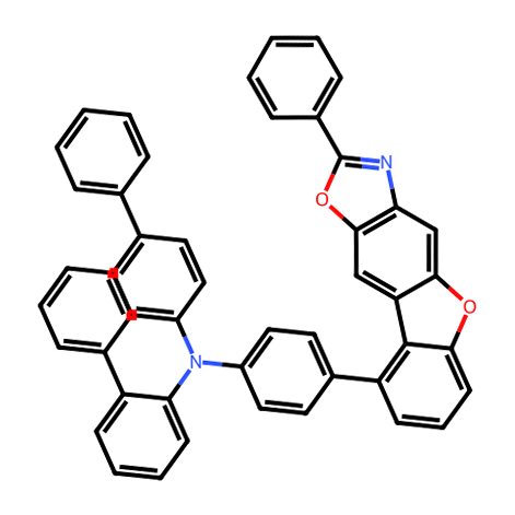 c1ccc(-c2ccc(N(c3ccc(-c4cccc5oc6cc7nc(-c8ccccc8)oc7cc6c45)cc3)c3ccccc3-c3ccccc3)cc2)cc1